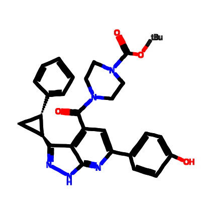 CC(C)(C)OC(=O)N1CCN(C(=O)c2cc(-c3ccc(O)cc3)nc3[nH]nc([C@H]4C[C@@H]4c4ccccc4)c23)CC1